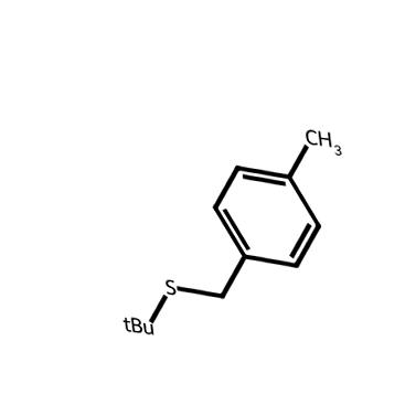 Cc1ccc(CSC(C)(C)C)cc1